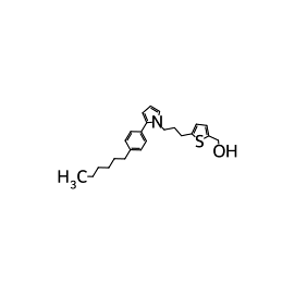 CCCCCCc1ccc(-c2cccn2CCCc2ccc(CO)s2)cc1